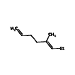 [CH2]C/C=C(\C)CCC=C